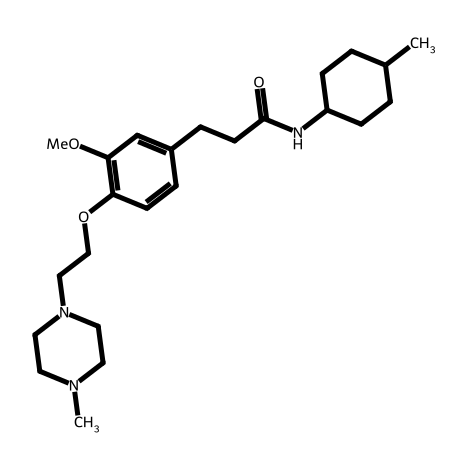 COc1cc(CCC(=O)NC2CCC(C)CC2)ccc1OCCN1CCN(C)CC1